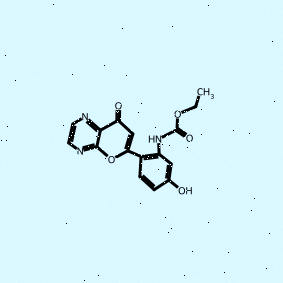 CCOC(=O)Nc1cc(O)ccc1-c1cc(=O)c2nccnc2o1